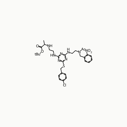 CC(=O)N(CCNc1nc(NCCNC(C)C(=O)OC(C)(C)C)nc(SCc2ccc(Cl)cc2)n1)Cc1ccccc1[N+](=O)[O-]